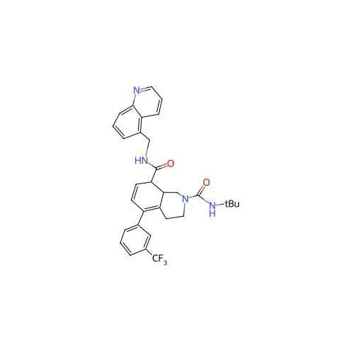 CC(C)(C)NC(=O)N1CCC2=C(c3cccc(C(F)(F)F)c3)C=CC(C(=O)NCc3cccc4ncccc34)C2C1